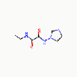 CCNC(=O)C(=O)NN1CCNC1